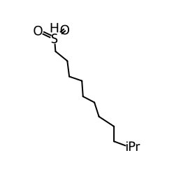 CC(C)CCCCCCCCC[SH](=O)=O